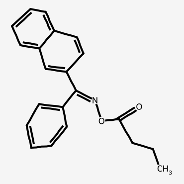 CCCC(=O)ON=C(c1ccccc1)c1ccc2ccccc2c1